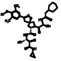 CCC[C@H](NC(=O)[C@@H]1C[C@]2(CC(c3cc(C)c(OCC)c(C)c3)=NO2)CN1C(=O)[C@@H](NC(=O)CC1CCCCC1)C(C)(C)C)C(=O)C(=O)NC1CC1